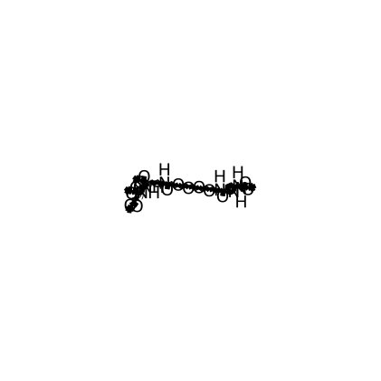 CC(C)(C)OC(=O)CC[C@H](NC(=O)N[C@@H](CCCCNC(=O)CCOCCOCCOCCOCCNC(=O)c1ccc(NNC(=O)OC(C)(C)C)nc1)C(=O)OC(C)(C)C)C(=O)OC(C)(C)C